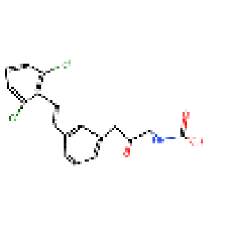 O=C(CNC(=O)O)Cc1cccc(C=Cc2c(Cl)cccc2Cl)c1